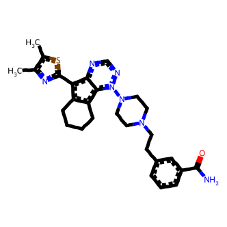 Cc1nc(-c2c3ncnn(N4CCN(CCc5cccc(C(N)=O)c5)CC4)c-3c3c2CCCC3)sc1C